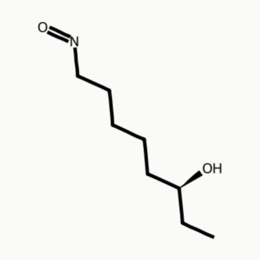 CC[C@H](O)CCCCCN=O